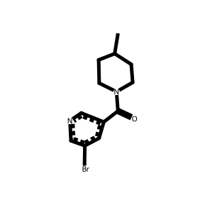 CC1CCN(C(=O)c2cncc(Br)c2)CC1